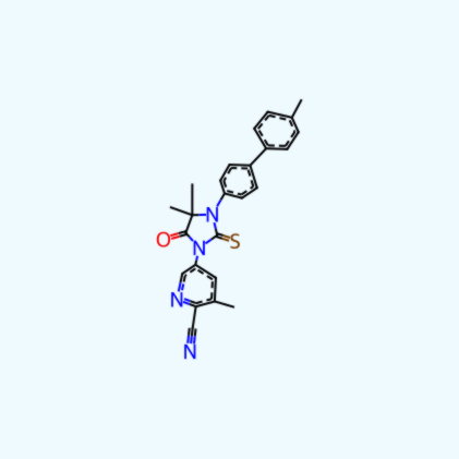 Cc1ccc(-c2ccc(N3C(=S)N(c4cnc(C#N)c(C)c4)C(=O)C3(C)C)cc2)cc1